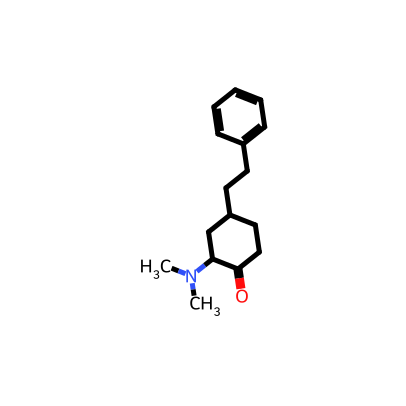 CN(C)C1CC(CCc2ccccc2)CCC1=O